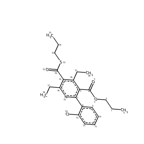 CCCOC(=O)c1c(-c2ccccc2Cl)nc(CC)c(C(=O)SCCC)c1CC